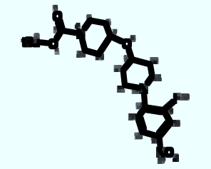 CC(C)(C)OC(=O)N1CCC(OC2CCN(c3ccc([N+](=O)[O-])cc3F)CC2)CC1